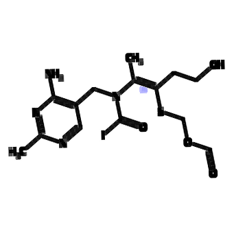 C/C(=C(\CCO)SCOC=O)N(Cc1cnc(C)nc1N)C(=O)I